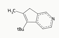 CC1=C(C(C)(C)C)c2ccncc2C1